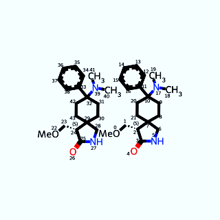 COC[C@H]1C(=O)NCC12CCC(c1ccccc1)(N(C)C)CC2.COC[C@H]1C(=O)NCC12CCC(c1ccccc1)(N(C)C)CC2